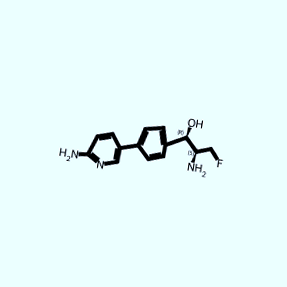 Nc1ccc(-c2ccc([C@@H](O)[C@H](N)CF)cc2)cn1